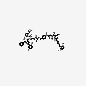 CC(C)C(NC(=O)CCCCCN1C(=O)C=CC1=O)C(=O)NCC(=O)Nc1ccc(COC(=O)NCCCN(C(=O)N2CCC[C@H]2CO)[C@@H](c2nc(-c3cc(F)ccc3F)nn2Cc2ccccc2)C(C)(C)C)cc1